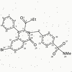 CCC(=O)c1c(-c2ccccc2)c2cc(Br)ccc2c(=O)n1Cc1ccc(S(=O)(=O)NC)cc1